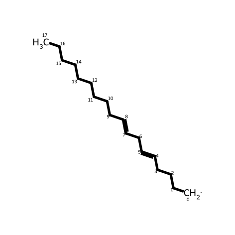 [CH2]CCCC=CCC=CCCCCCCCCC